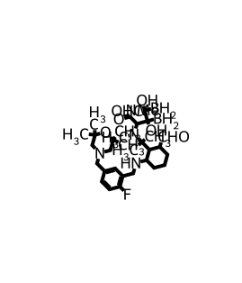 BC(O)(C=O)C(B)(O)C(C(=O)NC)N(C)C(C)(C)C1C(C=O)CCCC1NCc1cc(CN2CC(C)(C)OC(C)(C)C2)ccc1F